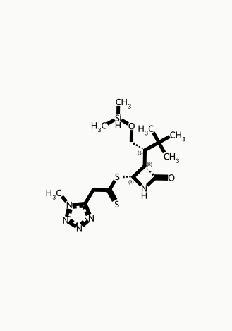 Cn1nnnc1CC(=S)S[C@H]1NC(=O)[C@H]1[C@H](CO[SiH](C)C)C(C)(C)C